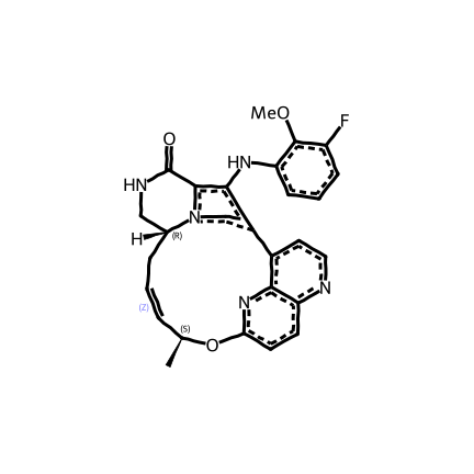 COc1c(F)cccc1Nc1c2cn3c1C(=O)NC[C@H]3C/C=C\[C@H](C)Oc1ccc3nccc-2c3n1